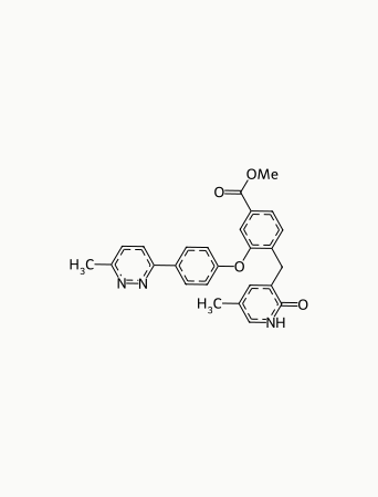 COC(=O)c1ccc(Cc2cc(C)c[nH]c2=O)c(Oc2ccc(-c3ccc(C)nn3)cc2)c1